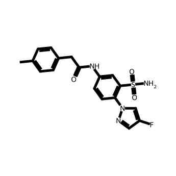 Cc1ccc(CC(=O)Nc2ccc(-n3cc(F)cn3)c(S(N)(=O)=O)c2)cc1